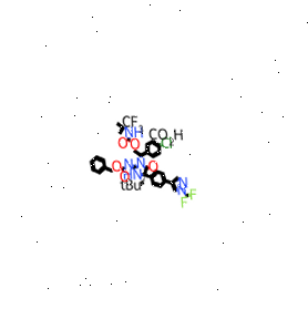 CC(C)(C)C[C@]1(c2ccc(-c3cnn(C(F)F)c3)cc2)NC(=NC(=O)OCc2ccccc2)N(C(COC(=O)NC(C)(C)C(F)(F)F)c2ccc(Cl)c(C(=O)O)c2)C1=O